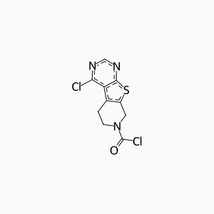 O=C(Cl)N1CCc2c(sc3ncnc(Cl)c23)C1